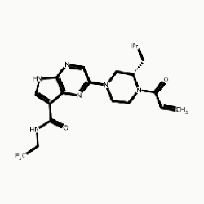 C=CC(=O)N1CCN(c2cnc3[nH]cc(C(=O)NCC(F)(F)F)c3n2)C[C@@H]1CC(C)C